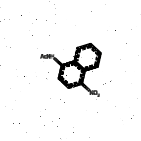 CC(=O)Nc1ccc([N+](=O)[O-])c2ccccc12